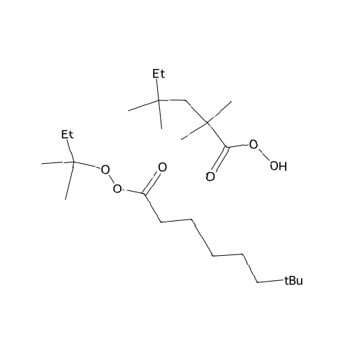 CCC(C)(C)CC(C)(C)C(=O)OO.CCC(C)(C)OOC(=O)CCCCCC(C)(C)C